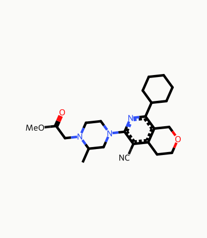 COC(=O)CN1CCN(c2nc(C3CCCCC3)c3c(c2C#N)CCOC3)CC1C